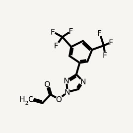 C=CC(=O)On1cnc(-c2cc(C(F)(F)F)cc(C(F)(F)F)c2)n1